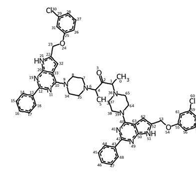 CC(C(=O)C(C)N1CCN(c2nc(-c3ccccc3)nc3[nH]c(COc4cccc(Cl)c4)cc23)CC1)N1CCN(c2nc(-c3ccccc3)nc3[nH]c(COc4cccc(Cl)c4)cc23)CC1